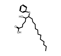 CCCCCCCCCCCCC(Sc1ccccc1)C(O)CCCC(=O)O